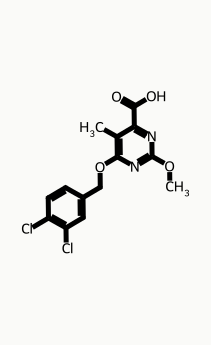 COc1nc(OCc2ccc(Cl)c(Cl)c2)c(C)c(C(=O)O)n1